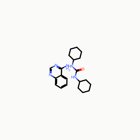 Nc1ncnc2ccccc12.O=C(NC1CCCCC1)NC1CCCCC1